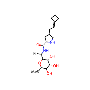 CS[C@H]1OC([C@H](NC(=O)[C@@H]2C[C@@H](CC=C3CCC3)CN2)C(C)C)[C@H](O)[C@H](O)[C@H]1O